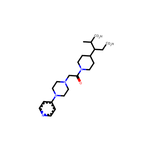 CC(C(=O)O)C(CC(=O)O)C1CCN(C(=O)CN2CCN(c3ccncc3)CC2)CC1